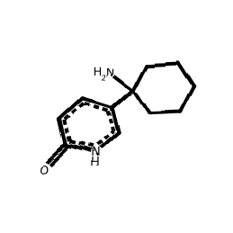 NC1(c2ccc(=O)[nH]c2)CCCCC1